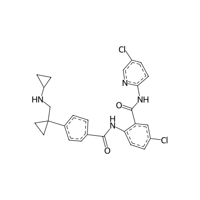 O=C(Nc1ccc(Cl)cc1C(=O)Nc1ccc(Cl)cn1)c1ccc(C2(CNC3CC3)CC2)cc1